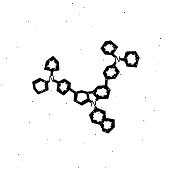 C1=CC(N(c2ccccc2)c2ccc(C3=CC=C4C(C3)c3cc(-c5ccc(N(c6ccccc6)c6ccccc6)cc5)ccc3N4c3ccc4ccccc4c3)cc2)=CCC1